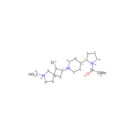 CCC1C(N2CCC(C3CCCN3C(=O)OC)CC2)CC12CCN(C(=O)O)C2